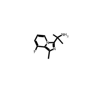 Cc1nc(C(C)(C)N)n2cccc(F)c12